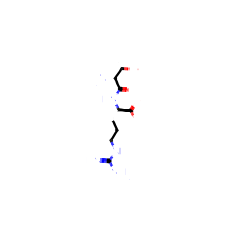 C[C@H](O)[C@@H](N)C(=O)N[C@@H](CCCNC(=N)N)C(=O)O